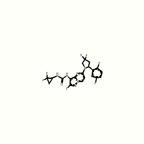 O=C(Nc1c(F)nn2ccc(N3CC(F)(F)CC3c3cc(F)ccc3F)nc12)NC1CC1(F)F